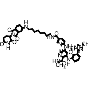 CNC(=O)c1nnc(Nc2ccc(C(=O)NCCCCCCCCNc3ccc4c(c3)C(=O)N(C3CCC(=O)NC3=O)C4=O)cn2)cc1Nc1cccc(-c2ncn(C)n2)c1OC